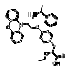 CC(N)c1ccccc1.CCOC(Cc1ccc(OCCN2c3ccccc3Oc3ccccc32)cc1)C(=O)O